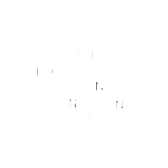 CC(C)C1=NSC2=NCCCN21